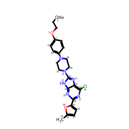 COCCOc1ccc(N2CCN(c3nc4c(Cl)nc(-c5ccc(C)o5)nc4[nH]3)CC2)cc1